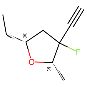 C#CC1(F)C[C@@H](CC)O[C@H]1C